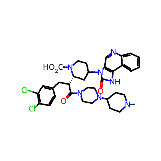 CN1CCC(N2CCN(C(=O)C(Cc3ccc(Cl)c(Cl)c3)[C@H]3CC(n4c(=O)[nH]c5c6ccccc6ncc54)CCN3C(=O)O)CC2)CC1